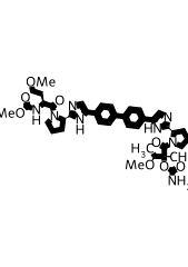 COCC[C@H](NC(=O)OC)C(=O)N1CCC[C@H]1c1ncc(-c2ccc(-c3ccc(-c4cnc([C@@H]5CCCN5C(=O)[C@@](C)(OC(N)=O)[C@@H](C)OC)[nH]4)cc3)cc2)[nH]1